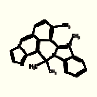 Cc1ccc2cn3ccnc3c3c2c1-c1n(c2ccccc2[n+]1C)C3(C)C